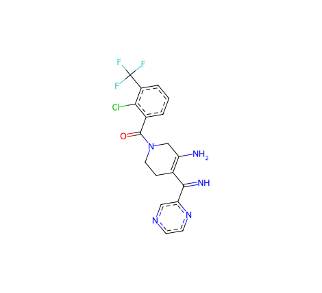 N=C(C1=C(N)CN(C(=O)c2cccc(C(F)(F)F)c2Cl)CC1)c1cnccn1